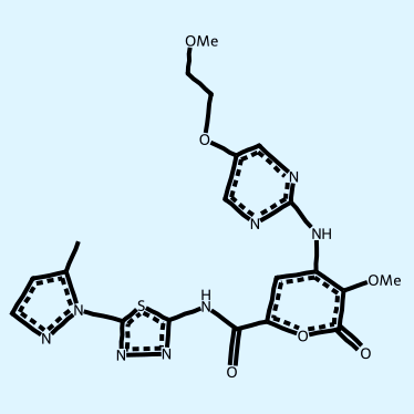 COCCOc1cnc(Nc2cc(C(=O)Nc3nnc(-n4nccc4C)s3)oc(=O)c2OC)nc1